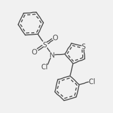 O=S(=O)(c1ccccc1)N(Cl)c1cscc1-c1ccccc1Cl